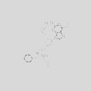 COc1nc(N)nc2c1ncn2C1OC(COP(=O)(NCOC(C)C)Oc2ccccc2)C[C@@H]1CCO